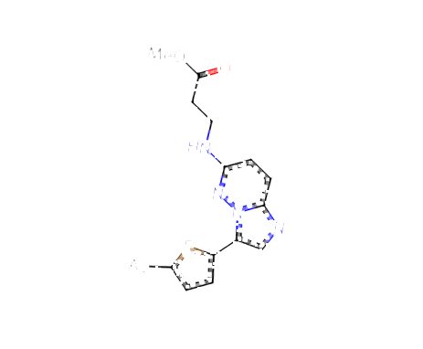 COC(=O)CCNc1ccc2ncc(-c3ccc(C(C)=O)s3)n2n1